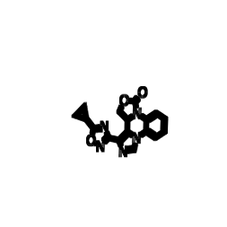 O=C1OCC2c3c(-c4noc(C5CC5)n4)ncn3-c3ccccc3N12